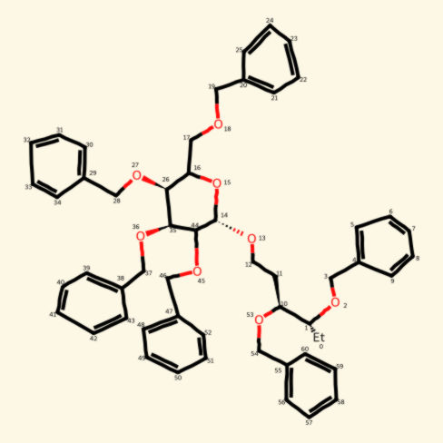 CC[C@@H](OCc1ccccc1)[C@H](CCO[C@H]1OC(COCc2ccccc2)[C@H](OCc2ccccc2)[C@H](OCc2ccccc2)C1OCc1ccccc1)OCc1ccccc1